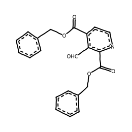 O=Cc1c(C(=O)OCc2ccccc2)ccnc1C(=O)OCc1ccccc1